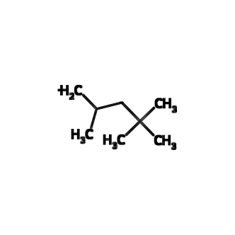 [CH2]C(C)CC(C)(C)C